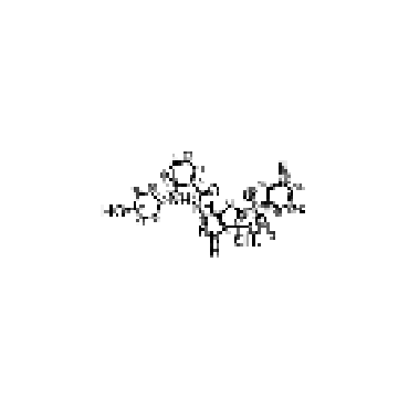 CC1(C)c2[nH]nc(NC(=O)c3cccnc3NC3CCC(O)CC3)c2CN1S(=O)(=O)c1cc(F)cc(F)c1